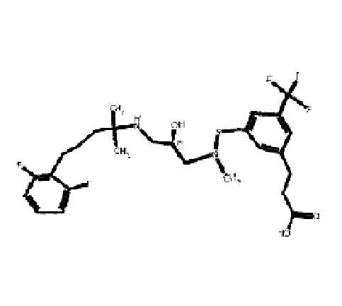 CN(C[C@H](O)CNC(C)(C)CCCc1c(F)cccc1F)Sc1cc(CCC(=O)O)cc(C(F)(F)F)c1